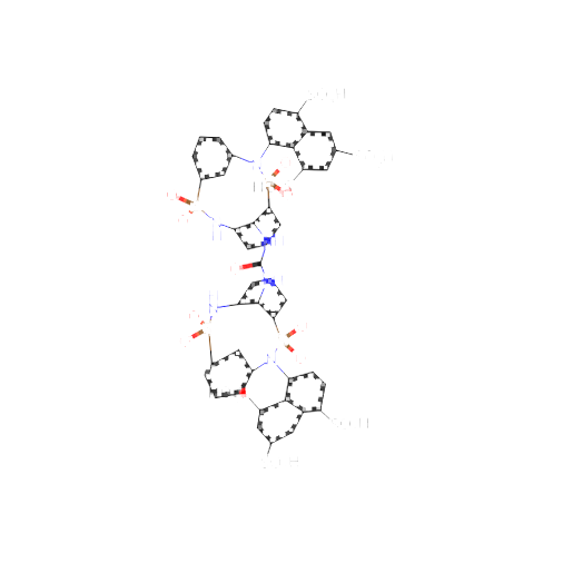 O=C(Nc1c2cccc1S(=O)(=O)N(c1ccc(S(=O)(=O)O)c3cc(S(=O)(=O)O)cc(S(=O)(=O)O)c13)c1cccc(c1)S(=O)(=O)N2)Nc1c2cccc1S(=O)(=O)N(c1ccc(S(=O)(=O)O)c3cc(S(=O)(=O)O)cc(S(=O)(=O)O)c13)c1cccc(c1)S(=O)(=O)N2